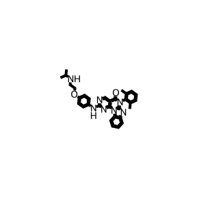 Cc1cccc(C)c1-n1c(=O)c2cnc(Nc3ccc(OCCNC(C)C)cc3)nc2n2c3ccccc3nc12